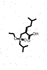 CCOP(=O)(CC(=CCC(C)C)C(=O)O)CC(C)C